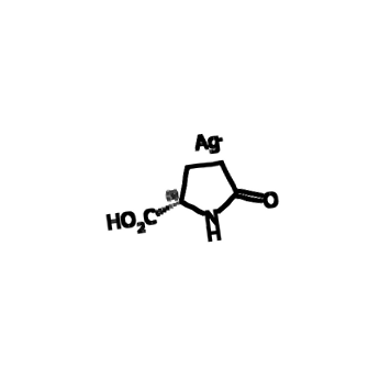 O=C1CC[C@@H](C(=O)O)N1.[Ag]